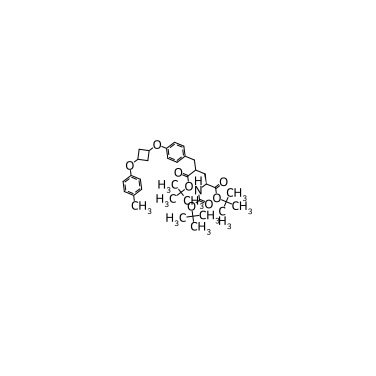 Cc1ccc(OC2CC(Oc3ccc(CC(C[C@H](NC(=O)OC(C)(C)C)C(=O)OC(C)(C)C)C(=O)OC(C)(C)C)cc3)C2)cc1